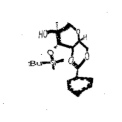 CC(C)(C)[Si](C)(C)O[C@H]1C2O[C@H](c3ccccc3)OC[C@H]2OC[C@]1(C)O